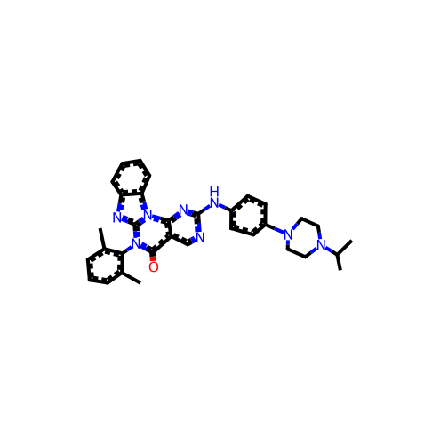 Cc1cccc(C)c1-n1c(=O)c2cnc(Nc3ccc(N4CCN(C(C)C)CC4)cc3)nc2n2c3ccccc3nc12